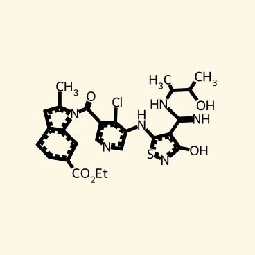 CCOC(=O)c1ccc2cc(C)n(C(=O)c3cncc(Nc4snc(O)c4C(=N)NC(C)C(C)O)c3Cl)c2c1